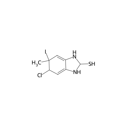 CC1(I)C=C2NC(S)NC2=CC1Cl